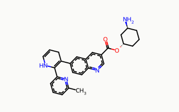 Cc1cccc(C2=C(c3ccc4ncc(C(=O)O[C@H]5CCC[C@H](N)C5)cc4c3)CC=CN2)n1